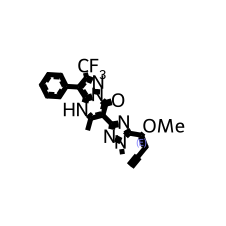 C#C/C=C(/OC)c1nc(-c2c(C)[nH]c3c(-c4ccccc4)c(C(F)(F)F)nn3c2=O)nn1C